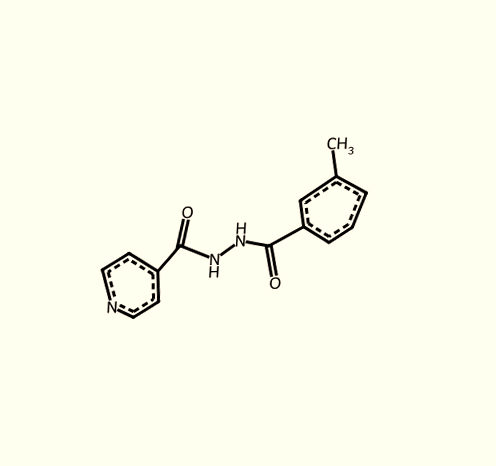 Cc1cccc(C(=O)NNC(=O)c2ccncc2)c1